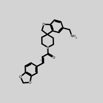 NCc1ccc2c(c1)C1(CCN(C(=O)/C=C/c3ccc4c(c3)OCO4)CC1)CO2